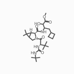 COC(=O)C(O)C(CC1CCC1)NC(=O)[C@@H]1[C@@H]2C(CN1C(=O)[C@@H](NC(=O)NC(C)(C)C)C(C)(C)C)C2(C)C